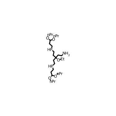 CCCOC(CCPCCC(CCN)(CCPCCC(OCCC)OCCC)OCC)OCCC